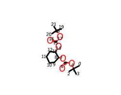 CC(C)(C)OC(=O)OC1CCCCC1OC(=O)OC(C)(C)C